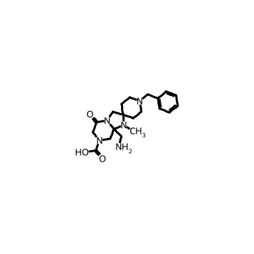 CN1C2(CCN(Cc3ccccc3)CC2)CN2C(=O)CN(C(=O)O)CC21CN